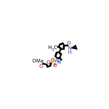 COC(=O)c1ccc(S(=O)(=O)n2ncc3cc(-c4cc(C(=O)NC5CC5)ccc4C)ccc32)o1